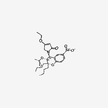 CCCCC1(CCCC)Oc2ccc([N+](=O)[O-])cc2[C@H](N2CC(OCC)=CC2=O)[C@H]1OC(C)=O